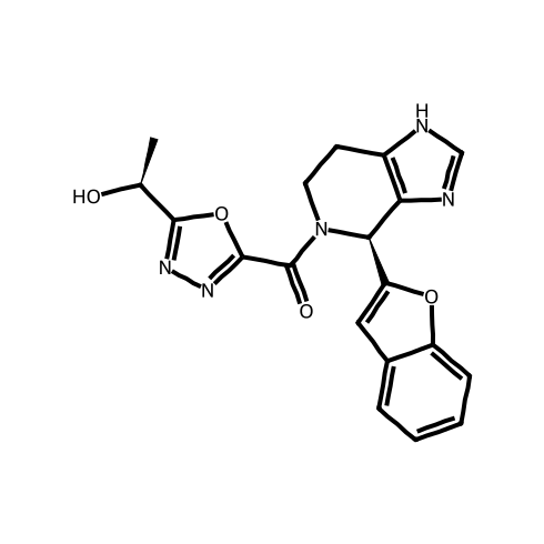 C[C@H](O)c1nnc(C(=O)N2CCc3[nH]cnc3[C@H]2c2cc3ccccc3o2)o1